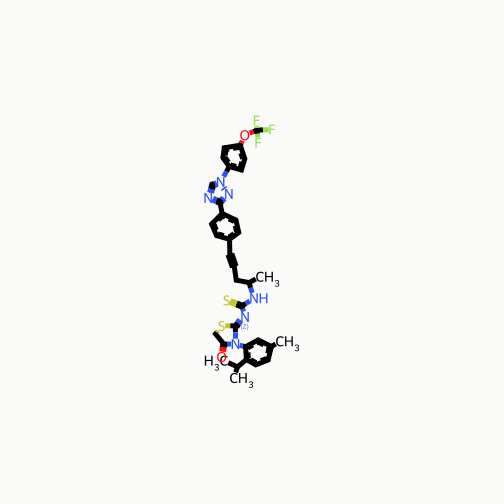 Cc1ccc(C(C)C)c(N2C(=O)CS/C2=N\C(=S)NC(C)CC#Cc2ccc(-c3ncn(-c4ccc(OC(F)(F)F)cc4)n3)cc2)c1